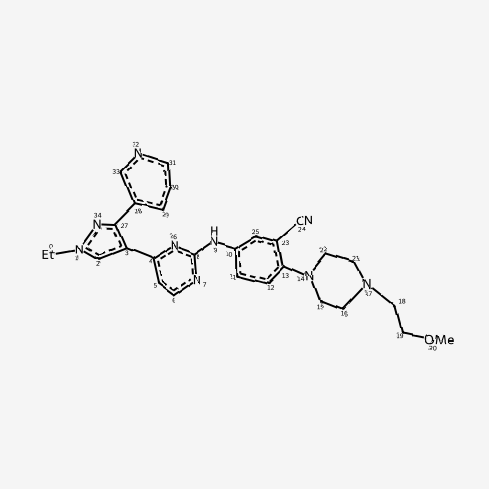 CCn1cc(-c2ccnc(Nc3ccc(N4CCN(CCOC)CC4)c(C#N)c3)n2)c(-c2cccnc2)n1